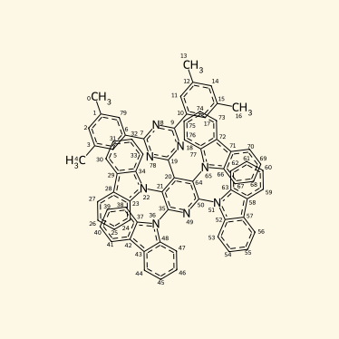 Cc1cc(C)cc(-c2nc(-c3cc(C)cc(C)c3)nc(-c3c(-n4c5ccccc5c5ccccc54)c(-n4c5ccccc5c5ccccc54)nc(-n4c5ccccc5c5ccccc54)c3-n3c4ccccc4c4ccccc43)n2)c1